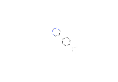 CC(C=O)c1ccc(-c2cncnc2)cc1